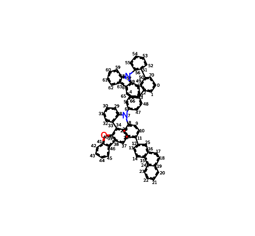 c1cc(-c2ccc(N(c3ccc(-c4ccc5c(ccc6ccccc65)c4)cc3)c3ccccc3-c3cccc4c3oc3ccccc34)cc2)cc(-c2ccccc2-n2c3ccccc3c3ccccc32)c1